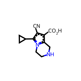 N#Cc1c(C(=O)O)c2n(c1C1CC1)CCNC2